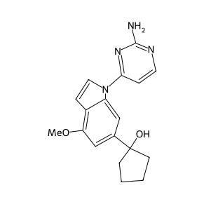 COc1cc(C2(O)CCCC2)cc2c1ccn2-c1ccnc(N)n1